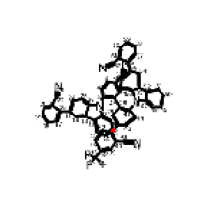 N#Cc1ccc(-n2c3ccccc3c3cc(-c4ccccc4C#N)ccc32)c(-c2cc(-c3ccc(C(F)(F)F)cc3C#N)ccc2-n2c3ccccc3c3cc(-c4ccccc4C#N)ccc32)c1